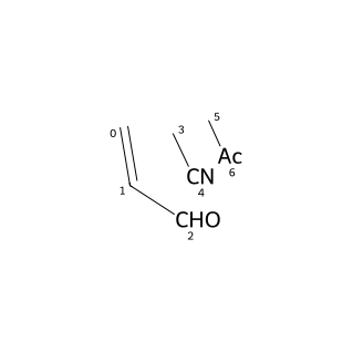 C=CC=O.CC#N.CC(C)=O